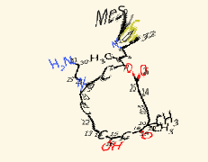 CSc1nc(/C=C(\C)C2CC3C(CCCCC(O)CC(=O)C(C)(C)CCC(=O)O2)N3CCN)cs1